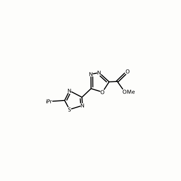 COC(=O)c1nnc(-c2nsc(C(C)C)n2)o1